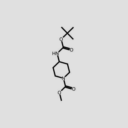 COC(=O)N1CCC(NC(=O)OC(C)(C)C)CC1